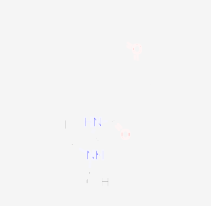 O=C(N[C@@H]1C[C@H]2CC[C@@H]1N2)c1ccc2oc3ccccc3c2c1